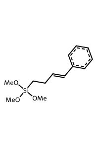 CO[Si](CCC=Cc1ccccc1)(OC)OC